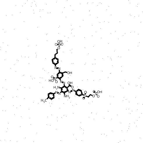 Cc1ccc(N=Nc2c(N)c(N=Nc3ccc(S(=O)(=O)CCOS(=O)(=O)O)cc3)c(C(=O)O)c(N=Nc3cc(CO)c(N=Nc4ccc(CCCOS(=O)(=O)O)cc4)cc3S(=O)(=O)O)c2N)cc1